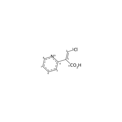 O=C(O)C(=CCl)c1ccccn1